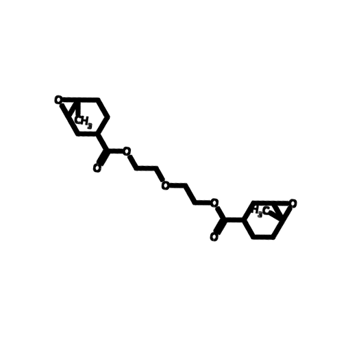 CC12CCC(C(=O)OCCOCCOC(=O)C3CCC4(C)OC4C3)CC1O2